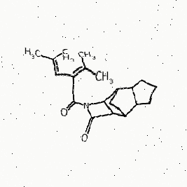 CC(C)=CC(C(=O)N1C(=O)C2C3CC(C4CCCC43)C21)=C(C)C